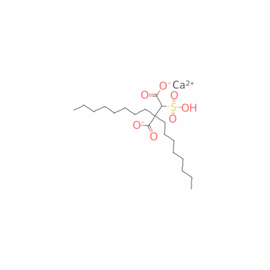 CCCCCCCCC(CCCCCCCC)(C(=O)[O-])C(C(=O)[O-])S(=O)(=O)O.[Ca+2]